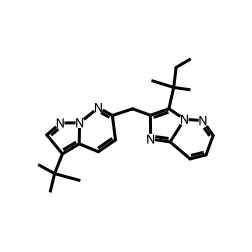 CCC(C)(C)c1c(Cc2ccc3c(C(C)(C)C)cnn3n2)nc2cccnn12